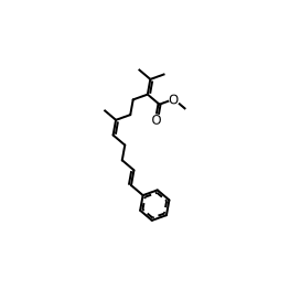 COC(=O)C(CCC(C)=CCCC=Cc1ccccc1)=C(C)C